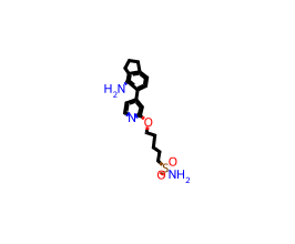 Nc1c(-c2ccnc(OCCCCCS(N)(=O)=O)c2)ccc2c1CCC2